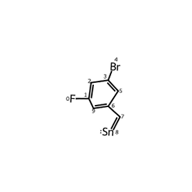 Fc1cc(Br)cc([CH]=[Sn])c1